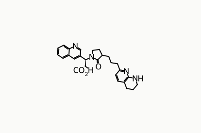 O=C(O)C[C@@H](c1cnc2ccccc2c1)N1CCC(CCCc2ccc3c(n2)NCCC3)C1=O